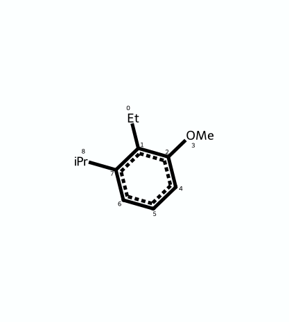 CCc1c(OC)cccc1C(C)C